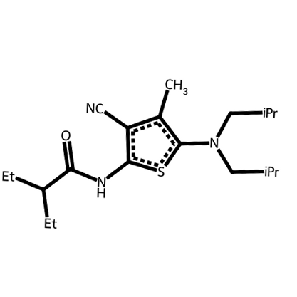 CCC(CC)C(=O)Nc1sc(N(CC(C)C)CC(C)C)c(C)c1C#N